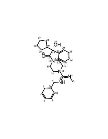 C/N=C(\NCc1ccccc1)N1CCN(C(=O)[C@](O)(c2ccccc2)C2CCCC2)CC1